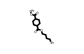 CCCOC(=O)C1CCC(C(=O)OCCCCC(C)C)CC1